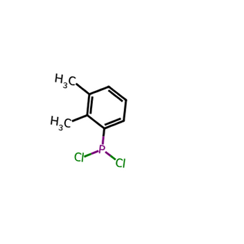 Cc1cccc(P(Cl)Cl)c1C